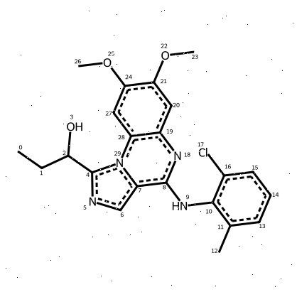 CCC(O)c1ncc2c(Nc3c(C)cccc3Cl)nc3cc(OC)c(OC)cc3n12